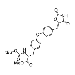 COC(=O)C(Cc1ccc(Oc2ccc(/C=C3\OC(=O)NC3=O)cc2)cc1)NC(=O)OC(C)(C)C